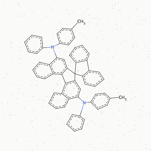 Cc1ccc(N(c2ccccc2)c2cc3c(c4ccccc24)-c2c(cc(N(c4ccccc4)c4ccc(C)cc4)c4ccccc24)C32c3ccccc3-c3ccccc32)cc1